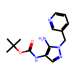 CC(C)(C)OC(=O)Nc1cnn(Cc2cccnc2)c1N